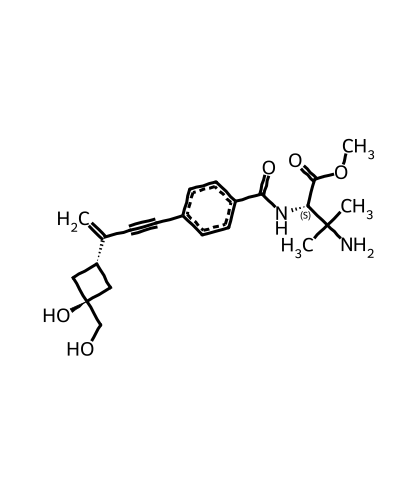 C=C(C#Cc1ccc(C(=O)N[C@H](C(=O)OC)C(C)(C)N)cc1)[C@H]1C[C@@](O)(CO)C1